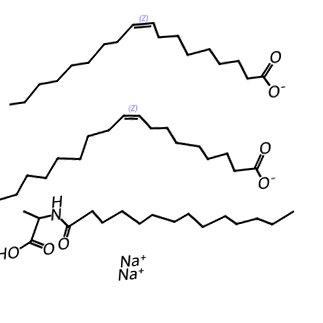 CCCCCCCC/C=C\CCCCCCCC(=O)[O-].CCCCCCCC/C=C\CCCCCCCC(=O)[O-].CCCCCCCCCCCCCC(=O)NC(C)C(=O)O.[Na+].[Na+]